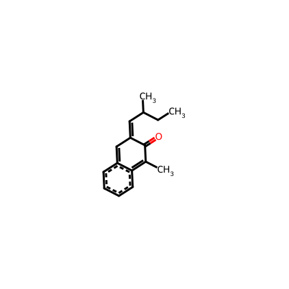 CCC(C)C=C1C=c2ccccc2=C(C)C1=O